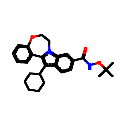 CC(C)(C)ONC(=O)c1ccc2c(C3CCCCC3)c3n(c2c1)CCOc1ccccc1-3